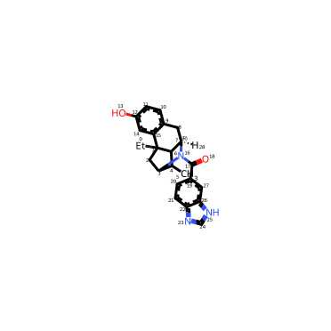 CCC12CC3C(C)C1[C@@H](Cc1ccc(O)cc12)N3C(=O)c1ccc2nc[nH]c2c1